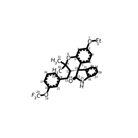 CCOc1ccc2c(c1)OC(C)(C)C(Cc1cccc(OC(F)(F)F)c1)[C@]21C(=O)Nc2ccccc21